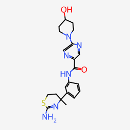 CC1(c2cccc(NC(=O)c3cnc(N4CCC(O)CC4)cn3)c2)CCSC(N)=N1